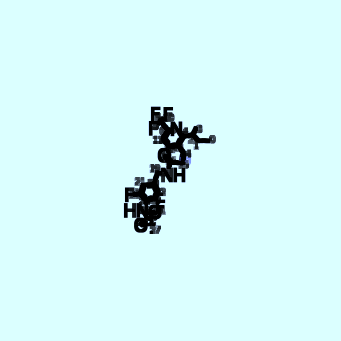 CCC(C)c1nc(C(F)(F)F)ccc1/C=C\C(=O)NCc1cc(F)c(NS(C)(=O)=O)c(F)c1